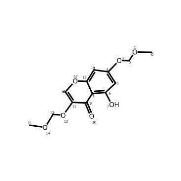 COCOc1cc(O)c2c(=O)c(OCOC)coc2c1